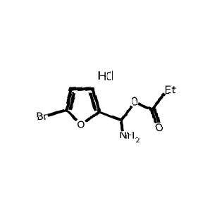 CCC(=O)OC(N)c1ccc(Br)o1.Cl